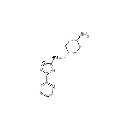 N[C@H]1CC[C@H](CNc2nc(-c3ccccn3)cs2)CC1